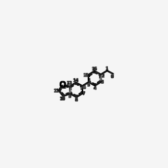 CCc1ccc(-c2ccc3ccoc3c2)cc1